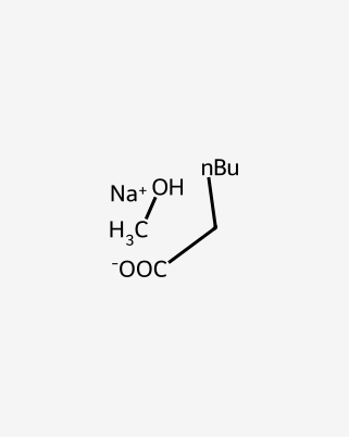 CCCCCC(=O)[O-].CO.[Na+]